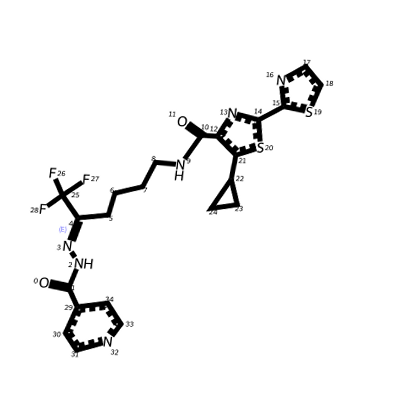 O=C(N/N=C(\CCCCNC(=O)c1nc(-c2nccs2)sc1C1CC1)C(F)(F)F)c1ccncc1